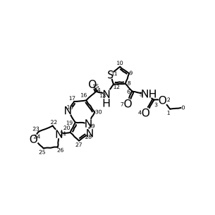 CCOC(=O)NC(=O)c1ccsc1NC(=O)c1cnc2c(N3CCOCC3)cnn2c1